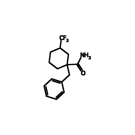 NC(=O)C1(Cc2ccccc2)CCCC(C(F)(F)F)C1